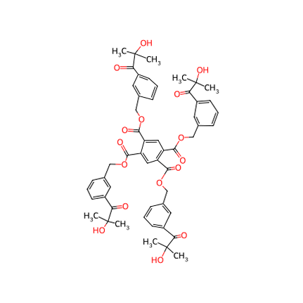 CC(C)(O)C(=O)c1cccc(COC(=O)c2cc(C(=O)OCc3cccc(C(=O)C(C)(C)O)c3)c(C(=O)OCc3cccc(C(=O)C(C)(C)O)c3)cc2C(=O)OCc2cccc(C(=O)C(C)(C)O)c2)c1